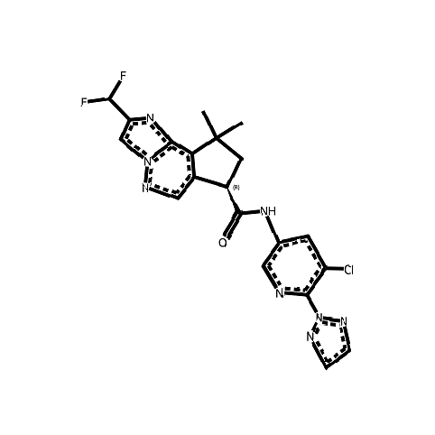 CC1(C)C[C@@H](C(=O)Nc2cnc(-n3nccn3)c(Cl)c2)c2cnn3cc(C(F)F)nc3c21